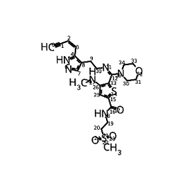 C#C/C=C\c1[nH]ncc1CC/N=C(\c1sc(C(=O)NCCS(C)(=O)=O)cc1NC)N1CCOCC1